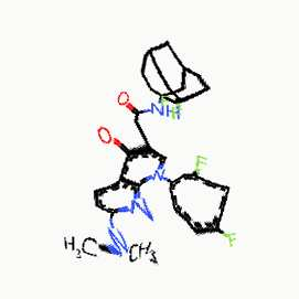 CN(C)c1ccc2c(=O)c(C(=O)NC34CC5CC(C3)C(F)(F)C(C5)C4)cn(-c3ccc(F)cc3F)c2n1